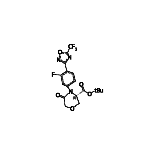 CC(C)(C)OC(=O)[C@@H]1COCC(=O)N1c1ccc(-c2noc(C(F)(F)F)n2)c(F)c1